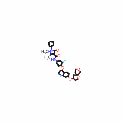 Cc1c(C(=O)Nc2ccc(Oc3ccnc4cc(OC5CCOC6(CCOCC6)C5)ccc34)c(F)c2)c(=O)n(-c2ccccc2)n1C